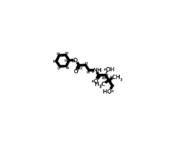 CC(C)(CO)[C@@H](O)C(=O)NCCC(=O)OC1CCCCC1